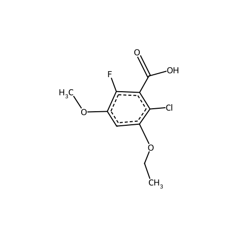 CCOc1cc(OC)c(F)c(C(=O)O)c1Cl